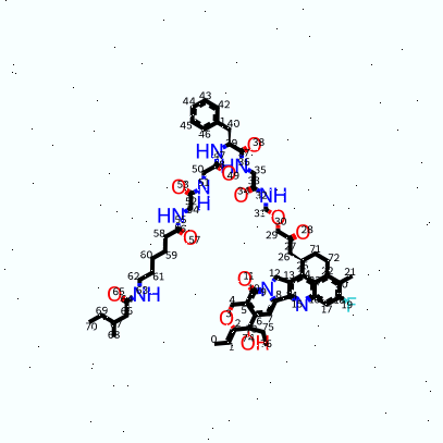 C/C=C1\OCc2c(cc3n(c2=O)Cc2c-3nc3cc(F)c(C)c4c3c2[C@@H](CC(=O)COCNC(=O)CNC(=O)[C@H](Cc2ccccc2)NC(=O)CNC(=O)CNC(=O)CCCCCNC(=O)CC(C)CC)CC4)[C@@]1(O)CC